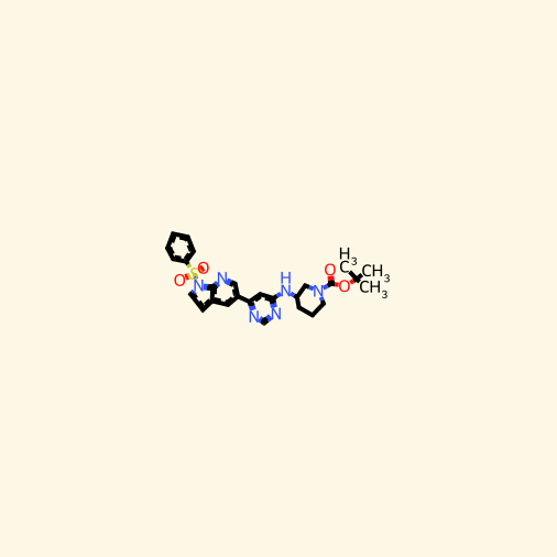 CC(C)(C)OC(=O)N1CCCC(Nc2cc(-c3cnc4c(ccn4S(=O)(=O)c4ccccc4)c3)ncn2)C1